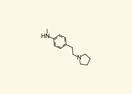 CNc1ccc(CCN2CCCC2)cc1